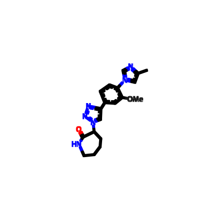 COc1cc(-c2cn(C3CCCCNC3=O)nn2)ccc1-n1cnc(C)c1